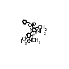 C=Cc1c(N)nc(-c2ccc(Cl)c(N(C)C)c2F)nc1C(=O)OCc1ccccc1